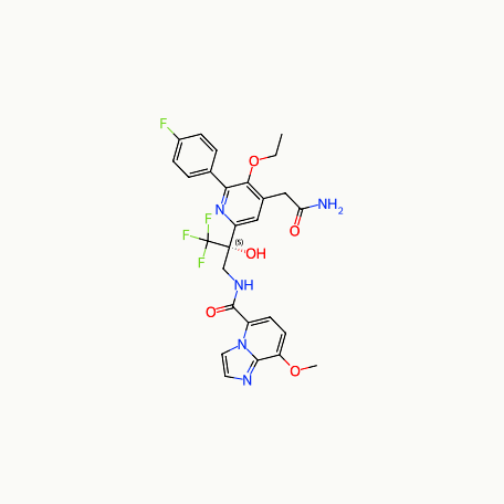 CCOc1c(CC(N)=O)cc([C@@](O)(CNC(=O)c2ccc(OC)c3nccn23)C(F)(F)F)nc1-c1ccc(F)cc1